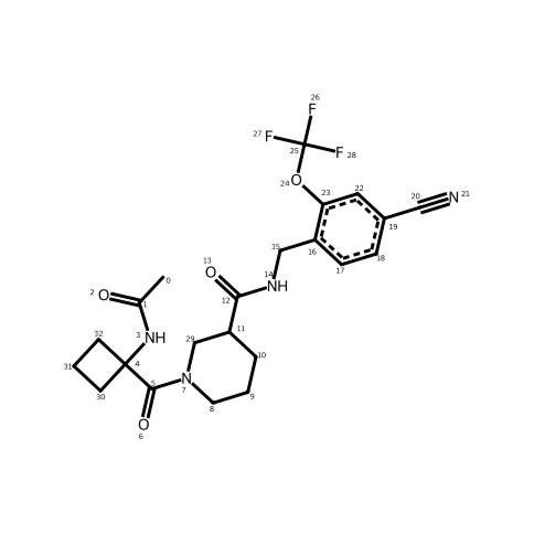 CC(=O)NC1(C(=O)N2CCCC(C(=O)NCc3ccc(C#N)cc3OC(F)(F)F)C2)CCC1